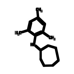 Cc1cc(C)c(PC2CCCCCC2)c(C)c1